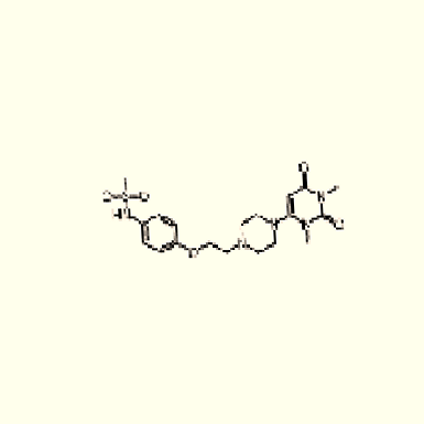 Cn1c(N2CCN(CCOc3ccc(NS(C)(=O)=O)cc3)CC2)cc(=O)n(C)c1=O